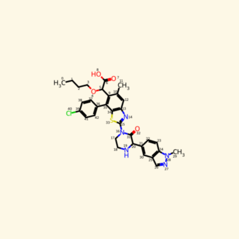 CCCCOC(C(=O)O)c1c(C)cc2nc(N3CCNC(c4ccc5c(cnn5C)c4)C3=O)sc2c1-c1ccc(Cl)cc1